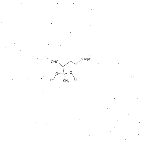 CCCCCCCCCC(C=O)[Si](C)(OCC)OCC